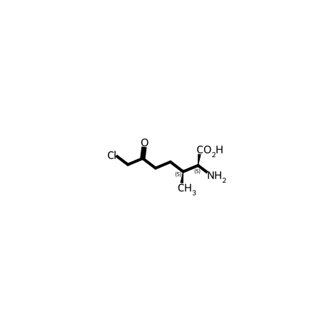 C[C@@H](CCC(=O)CCl)[C@H](N)C(=O)O